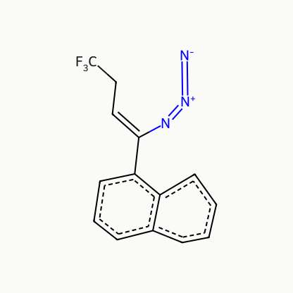 [N-]=[N+]=NC(=CCC(F)(F)F)c1cccc2ccccc12